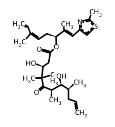 C=CC[C@H](C)[C@H](O)[C@@H](C)C(=O)C(C)(C)[C@@H](O)CC(=O)O[C@@H](C/C=C(/C)C=C)/C(C)=C/c1csc(C)n1